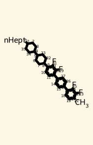 CCCCCCCC1CCC(C2CCC(c3ccc(-c4ccc(-c5ccc(C)c(F)c5F)cc4)c(F)c3F)CC2)CC1